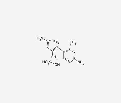 Cc1cc(N)ccc1-c1ccc(N)cc1C.O=S(=O)(O)O